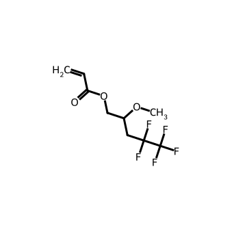 C=CC(=O)OCC(CC(F)(F)C(F)(F)F)OC